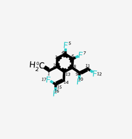 C=Cc1cc(F)c(F)c(C(F)=CF)c1C=C(F)F